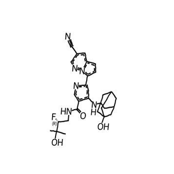 CC(C)(O)[C@H](F)CNC(=O)c1cnc(-c2ccc3cc(C#N)cnn23)cc1NC12CC3CC(CC(O)(C3)C1)C2